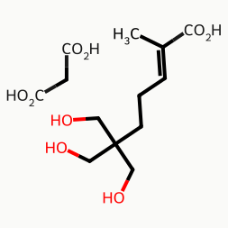 CC(=CCCC(CO)(CO)CO)C(=O)O.O=C(O)CC(=O)O